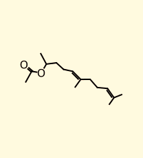 CC(=O)OC(C)CC/C=C(\C)CCC=C(C)C